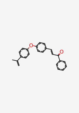 C=C(C)c1ccc(Oc2ccc(C=CC(=O)c3ccccc3)cc2)cc1